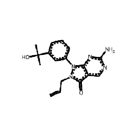 C=CCn1c(=O)c2cnc(N)nc2n1-c1cccc(C(C)(C)O)c1